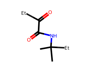 CCC(=O)C(=O)NC(C)(C)CC